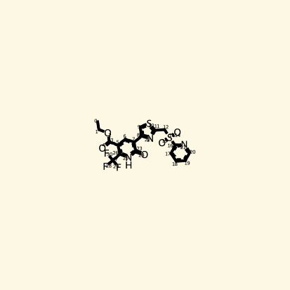 CCOC(=O)c1cc(-c2csc(CS(=O)(=O)c3ccccn3)n2)c(=O)[nH]c1C(F)(F)F